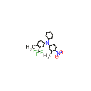 Cc1cc(N(c2ccccc2)c2ccc(C)c(C(F)(F)F)c2)ccc1[N+](=O)[O-]